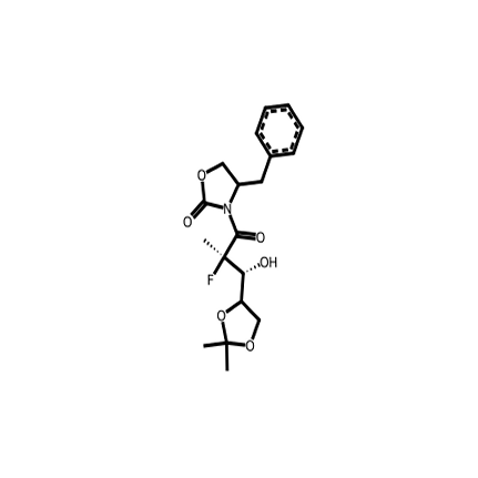 CC1(C)OCC([C@@H](O)[C@@](C)(F)C(=O)N2C(=O)OCC2Cc2ccccc2)O1